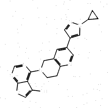 Cc1csc2ncnc(N3CCc4ncc(-c5cnn(C6CC6)c5)cc4C3)c12